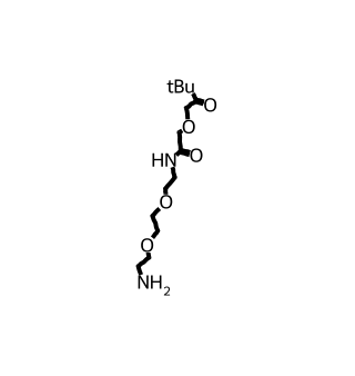 CC(C)(C)C(=O)COCC(=O)NCCOCCOCCN